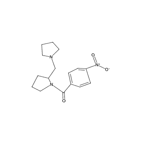 O=C(c1ccc([N+](=O)[O-])cc1)N1CCCC1CN1CCCC1